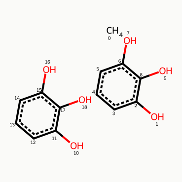 C.Oc1cccc(O)c1O.Oc1cccc(O)c1O